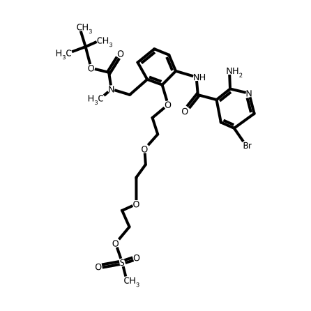 CN(Cc1cccc(NC(=O)c2cc(Br)cnc2N)c1OCCOCCOCCOS(C)(=O)=O)C(=O)OC(C)(C)C